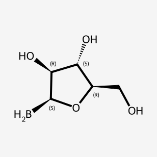 B[C@@H]1O[C@H](CO)[C@@H](O)[C@@H]1O